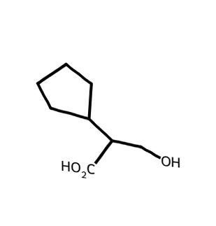 O=C(O)C(CO)C1CCCC1